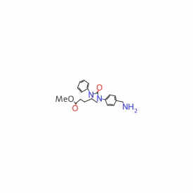 COC(=O)CCC1CN(c2ccc(CN)cc2)C(=O)N1c1ccccc1